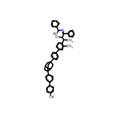 CCC(C)C(/N=C(/c1ccccc1)C(CC)C(C)c1ccc(-c2ccc(C34CC5CC(C3)C(c3ccc(-c6ccc(C#N)cc6)cc3)(C5)C4)cc2)cc1C)c1ccccc1